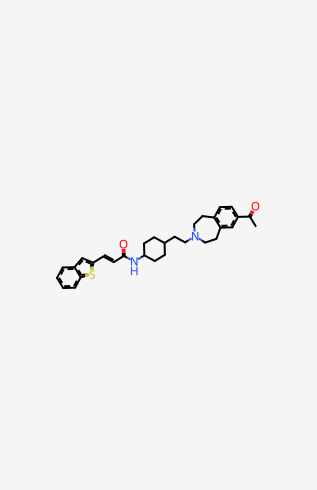 CC(=O)c1ccc2c(c1)CCN(CCC1CCC(NC(=O)/C=C/c3cc4ccccc4s3)CC1)CC2